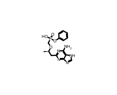 C[C@H](Cc1nc(N)c2[nH]cnc2n1)OCP(=O)(O)Oc1ccccc1